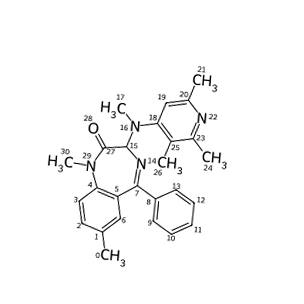 Cc1ccc2c(c1)C(c1ccccc1)=NC(N(C)c1cc(C)nc(C)c1C)C(=O)N2C